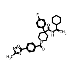 C=C(NC(=O)C1(c2ccc(F)cc2)CCN(C(=O)c2ccc(-c3nc(C)no3)cc2)CC1)C1CCCCC1